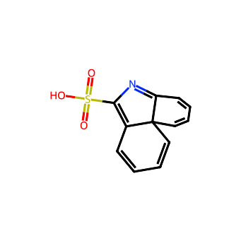 O=S(=O)(O)C1=C2C=CC=CC23C=CC=CC3=N1